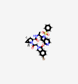 CC(NC(=O)[C@@H]1C[C@]2(C)C[C@@H]2N1C(=O)CN1Cc2cc(Br)ccc2C1=O)c1cc2cnccc2n1S(=O)(=O)c1ccccc1